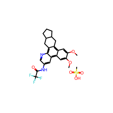 COc1cc2c3c(c4ncc(NC(=O)C(F)(F)F)cc4c2cc1OC)CC1CCCC1C3.CS(=O)(=O)O